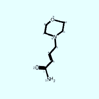 NC(=O)/C=C/CN1CCOCC1